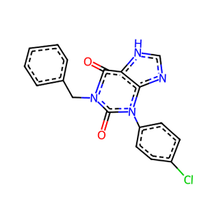 O=c1c2[nH]cnc2n(-c2ccc(Cl)cc2)c(=O)n1Cc1ccccc1